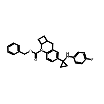 O=C(OCc1ccccc1)N1c2ccc(C3(Nc4ccc(F)cc4)CC3)cc2CC2CCC21